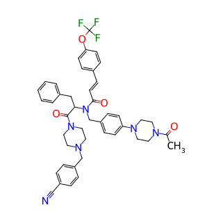 CC(=O)N1CCN(c2ccc(CN(C(=O)C=Cc3ccc(OC(F)(F)F)cc3)C(Cc3ccccc3)C(=O)N3CCN(Cc4ccc(C#N)cc4)CC3)cc2)CC1